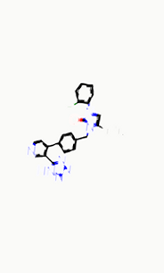 CCCCc1cn(-c2ccccc2F)c(=O)n1Cc1ccc(-c2ccncc2-c2nnn[nH]2)cc1